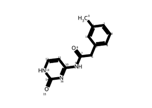 Cc1cccc(CC(=O)Nc2cc[nH]c(=O)n2)c1